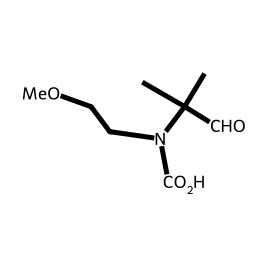 COCCN(C(=O)O)C(C)(C)C=O